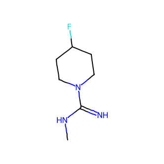 CNC(=N)N1CCC(F)CC1